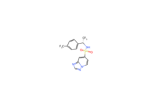 O=S(=O)(N[C@H](c1ccc(C(F)(F)F)cc1)C(F)(F)F)c1ccn2ncnc2c1